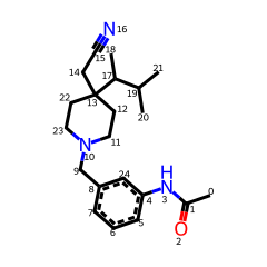 CC(=O)Nc1cccc(CN2CCC(CC#N)(C(C)C(C)C)CC2)c1